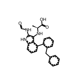 C[C@H](Nc1c(NC=O)[nH]c2cccc(-c3ccccc3Cc3ccccc3)c12)C(=O)O